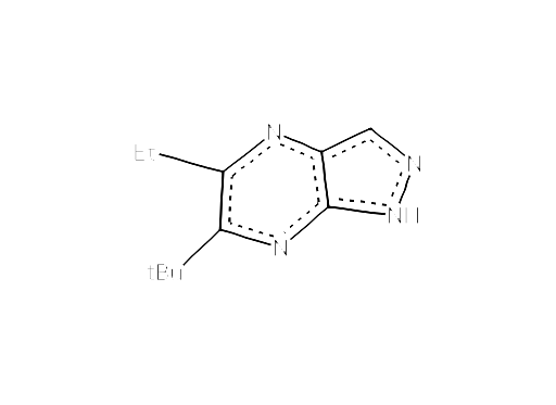 CCc1nc2cn[nH]c2nc1C(C)(C)C